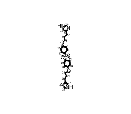 O=S(=O)(c1ccc(OCCCc2c[nH]cn2)cc1)c1ccc(OCCCc2c[nH]cn2)cc1